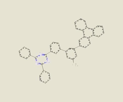 N#Cc1cc(-c2cccc(-c3nc(-c4ccccc4)nc(-c4ccccc4)n3)c2)cc(-c2ccc3c4ccccc4c4ccccc4c3c2)c1